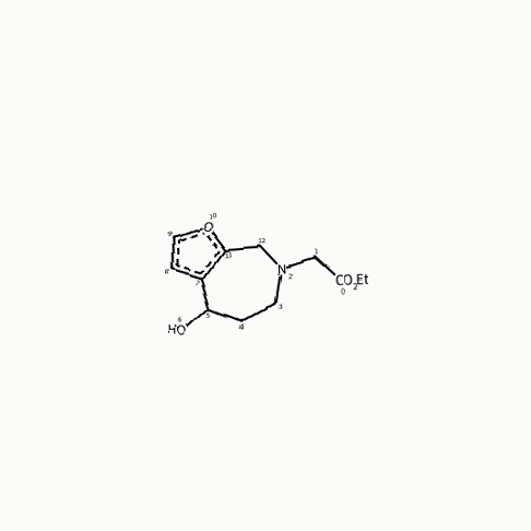 CCOC(=O)CN1CCC(O)c2ccoc2C1